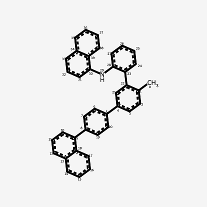 Cc1ccc(-c2ccc(-c3cccc4ccccc34)cc2)cc1-c1ccccc1Nc1cccc2ccccc12